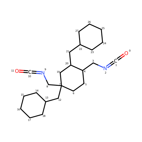 O=C=NCC1CCC(CN=C=O)(CC2CCCCC2)CC1CC1CCCCC1